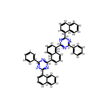 c1ccc(-c2nc(-c3cccc4ccccc34)nc(-c3cccc4c(-c5nc(-c6ccccc6)nc(-c6cccc7ccccc67)n5)cccc34)n2)cc1